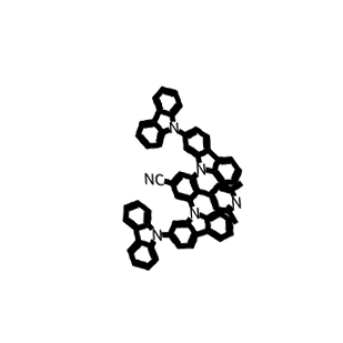 Cc1cc(-c2c(-n3c4ccccc4c4ccc(-n5c6ccccc6c6ccccc65)cc43)cc(C#N)cc2-n2c3ccccc3c3ccc(-n4c5ccccc5c5ccccc54)cc32)cc(C)n1